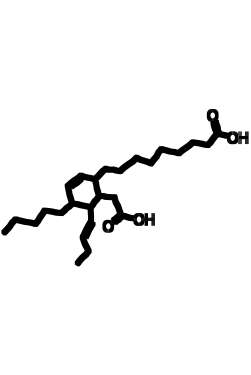 CCC=CC1C(CCCCC)C=CC(CCCCCCCCC(=O)O)C1CC(=O)O